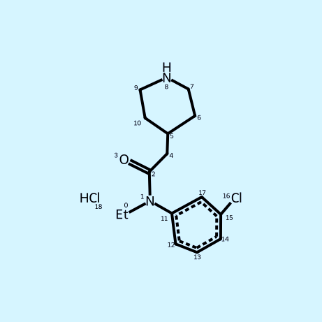 CCN(C(=O)CC1CCNCC1)c1cccc(Cl)c1.Cl